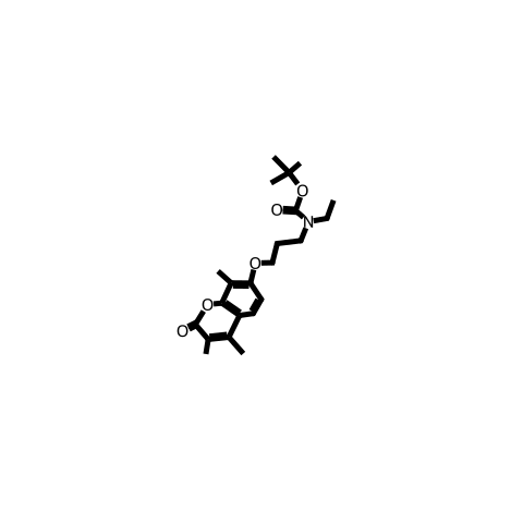 CCN(CCCOc1ccc2c(C)c(C)c(=O)oc2c1C)C(=O)OC(C)(C)C